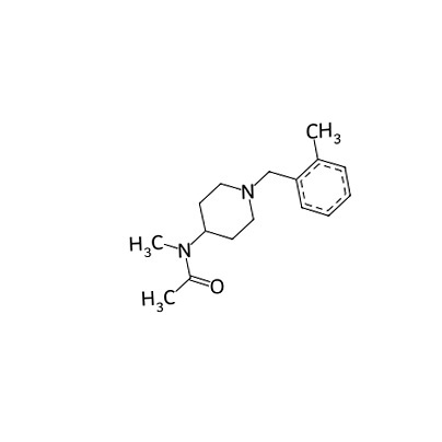 CC(=O)N(C)C1CCN(Cc2ccccc2C)CC1